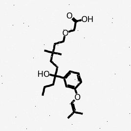 CCCC(O)(CCC(C)(C)CCOCC(=O)O)c1cccc(OC=C(C)C)c1